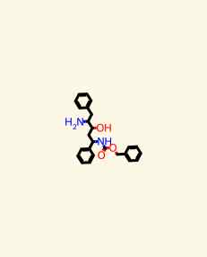 NC(Cc1ccccc1)C(O)CC(NC(=O)OCc1ccccc1)c1ccccc1